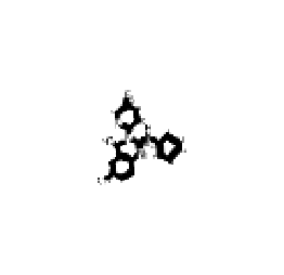 O=c1c2cc(Cl)ccc2nc(Nc2ccccc2)n1-c1ccc(F)cn1